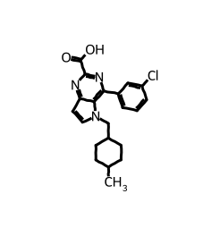 CC1CCC(Cn2ccc3nc(C(=O)O)nc(-c4cccc(Cl)c4)c32)CC1